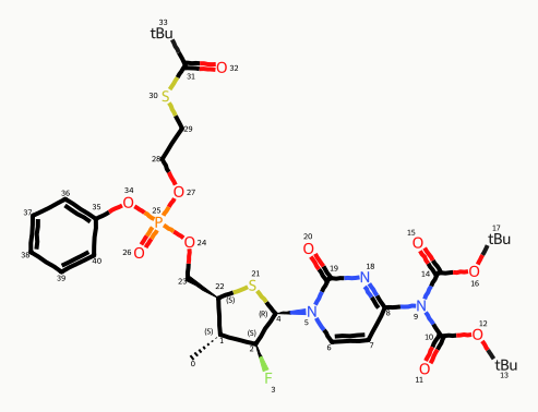 C[C@H]1[C@H](F)[C@H](n2ccc(N(C(=O)OC(C)(C)C)C(=O)OC(C)(C)C)nc2=O)S[C@@H]1COP(=O)(OCCSC(=O)C(C)(C)C)Oc1ccccc1